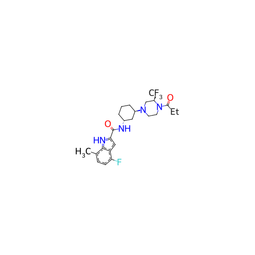 CCC(=O)N1CCN([C@@H]2CCC[C@@H](NC(=O)c3cc4c(F)ccc(C)c4[nH]3)C2)C[C@H]1C(F)(F)F